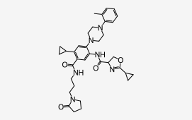 Cc1ccccc1N1CCN(c2cc(C3CC3)c(C(=O)NCCCN3CCCC3=O)cc2NC(=O)C2COC(C3CC3)=N2)CC1